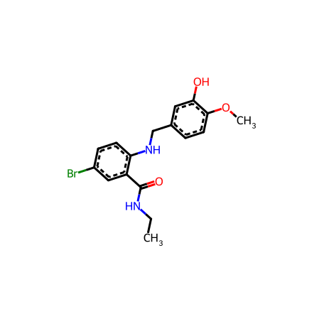 CCNC(=O)c1cc(Br)ccc1NCc1ccc(OC)c(O)c1